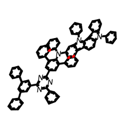 c1ccc(-c2cc(-c3ccccc3)cc(-c3nc(-c4ccccc4)nc(-c4cc(-c5ccccc5)c(N(c5ccccc5)c5ccc6c7ccc8c(c9ccccc9n8-c8ccccc8)c7n(-c7ccccc7)c6c5)c(-c5ccccc5)c4)n3)c2)cc1